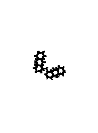 c1ccc2nc3cccc(Cc4cccc5nc6ccccc6cc45)c3cc2c1